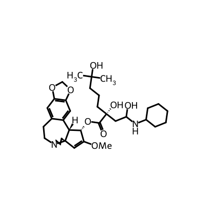 COC1=C[C@]23CCCN2CCc2cc4c(cc2[C@@H]3[C@@H]1OC(=O)[C@@](O)(CCCC(C)(C)O)CC(O)NC1CCCCC1)OCO4